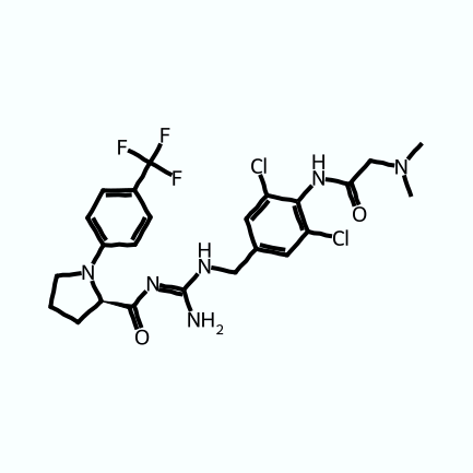 CN(C)CC(=O)Nc1c(Cl)cc(CN/C(N)=N/C(=O)[C@H]2CCCN2c2ccc(C(F)(F)F)cc2)cc1Cl